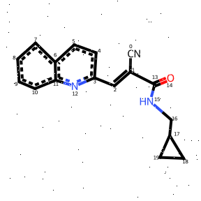 N#C/C(=C\c1ccc2ccccc2n1)C(=O)NCC1CC1